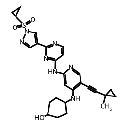 CC1(C#Cc2cnc(Nc3ccnc(-c4cnn(S(=O)(=O)C5CC5)c4)n3)cc2NC2CCC(O)CC2)CC1